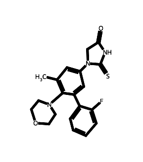 Cc1cc(N2CC(=O)NC2=S)cc(-c2ccccc2F)c1N1CCOCC1